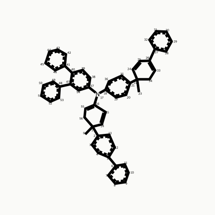 CC1(c2ccc(-c3ccccc3)cc2)C=CC(N(c2ccc(C3(C)C=CC(c4ccccc4)=CC3)cc2)c2ccc(-c3ccccc3)c(-c3ccccc3)c2)=CC1